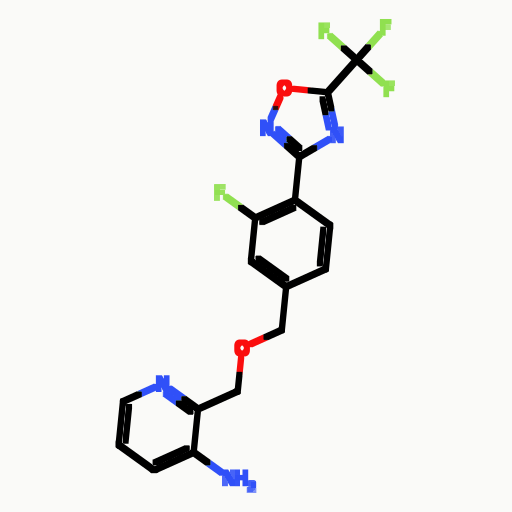 Nc1cccnc1COCc1ccc(-c2noc(C(F)(F)F)n2)c(F)c1